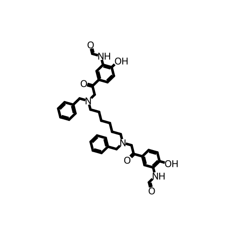 O=CNc1cc(C(=O)CN(CCCCCCN(CC(=O)c2ccc(O)c(NC=O)c2)Cc2ccccc2)Cc2ccccc2)ccc1O